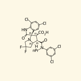 CCCN(C(=O)[C@H]1[C@H]2CC(F)(F)CN2[C@]2(C(=O)Nc3c(Cl)cc(Cl)cc32)[C@H]1C(=O)O)c1cc(Cl)cc(Cl)c1